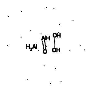 OO.[AlH3].[O]=[AlH]